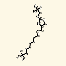 FC(F)(F)CCCCCCCOCC1COC(OCC(F)(F)F)O1